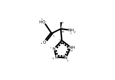 C[C@](N)(C(=O)O)c1nnn[nH]1